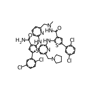 CN(Cc1cccc(Nc2sc(-c3cc(Cl)ccc3Cl)cc2C(N)=O)n1)NC(=O)c1cc(-c2cc(Cl)ccc2Cl)sc1Nc1cccc(CN2CCCC2)n1